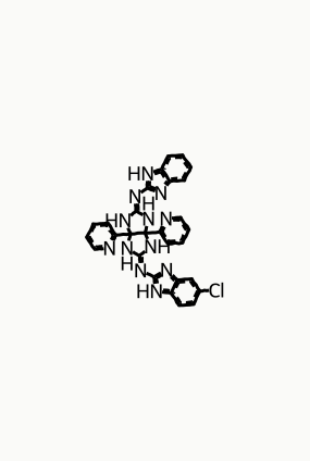 Clc1ccc2[nH]c(N=C3NC4(c5ccccn5)NC(=Nc5nc6ccccc6[nH]5)NC4(c4ccccn4)N3)nc2c1